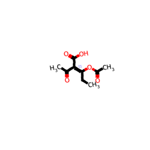 CC/C(OC(C)=O)=C(\C(C)=O)C(=O)O